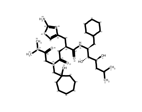 CC(C)C[C@H](O)[C@H](O)[C@H](CC1CCCCC1)NC(=O)[C@@H](CC(=O)N(CC(=O)N(C)C)CC1(O)CCCCCC1)Cc1csc(N)n1